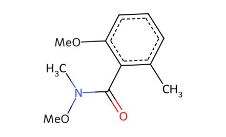 COc1cccc(C)c1C(=O)N(C)OC